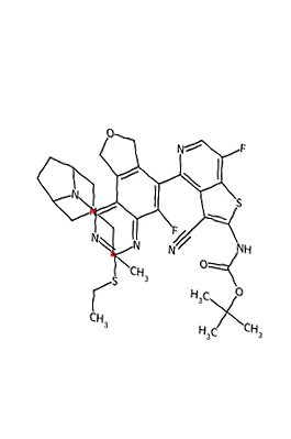 CCCN1CC2CCC(C1)N2c1nc(SCC)nc2c(F)c(-c3ncc(F)c4sc(NC(=O)OC(C)(C)C)c(C#N)c34)c3c(c12)COC3